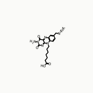 [N-]=[N+]=NCc1ccc2c(c1)nc1c(=O)n(N)c(=O)nc-1n2CCCCCCC(=O)O